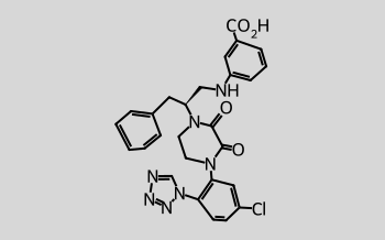 O=C(O)c1cccc(NC[C@H](Cc2ccccc2)N2CCN(c3cc(Cl)ccc3-n3cnnn3)C(=O)C2=O)c1